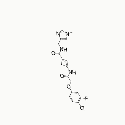 Cn1cnc(CNC(=O)C23CC(NC(=O)COc4ccc(Cl)c(F)c4)(C2)C3)c1